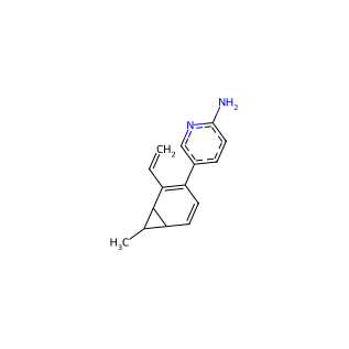 C=CC1=C(c2ccc(N)nc2)C=CC2C(C)C12